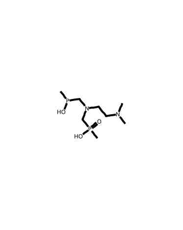 CN(C)CCN(CP(C)O)CP(C)(=O)O